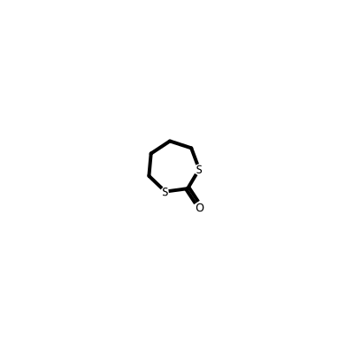 O=C1SCCCCS1